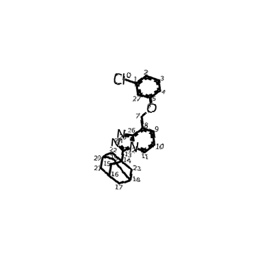 Clc1cccc(OCc2cccn3c(C45CC6CC(CC(C6)C4)C5)nnc23)c1